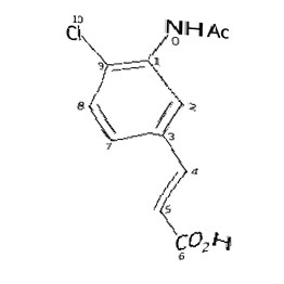 CC(=O)Nc1cc(C=CC(=O)O)ccc1Cl